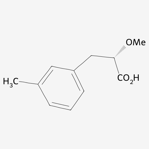 CO[C@@H](Cc1cccc(C)c1)C(=O)O